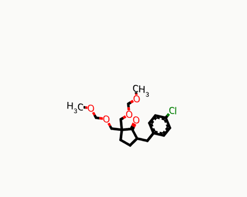 COCOCC1(COCOC)CCC(Cc2ccc(Cl)cc2)C1=O